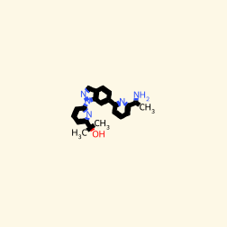 CC(N)c1cccc(-c2ccc3cnn(-c4cccc(C(C)(C)O)n4)c3c2)n1